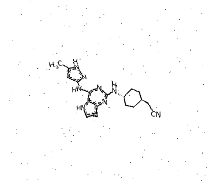 Cc1cc(Nc2nc(N[C@H]3CC[C@H](CC#N)CC3)nc3cc[nH]c23)n[nH]1